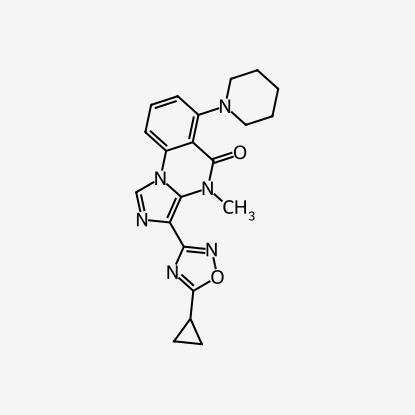 Cn1c(=O)c2c(N3CCCCC3)cccc2n2cnc(-c3noc(C4CC4)n3)c12